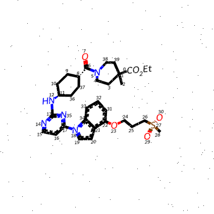 CCOC(=O)C1(C)CCN(C(=O)[C@H]2CC[C@H](Nc3nccc(-n4ccc5c(OCCCS(C)(=O)=O)cccc54)n3)CC2)CC1